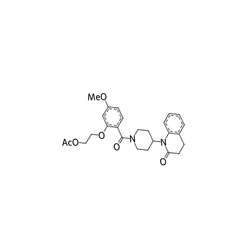 COc1ccc(C(=O)N2CCC(N3C(=O)CCc4ccccc43)CC2)c(OCCOC(C)=O)c1